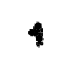 COC(=O)c1ccc(Nc2nc3nonc3nc2Nc2ccccc2F)cc1